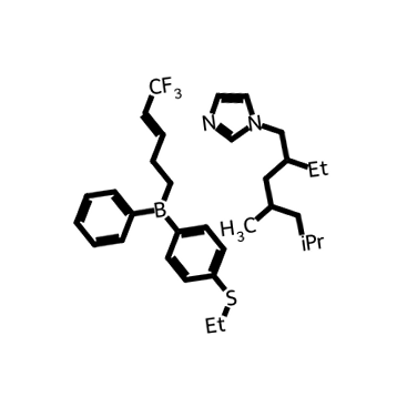 CCC(CC(C)CC(C)C)Cn1ccnc1.CCSc1ccc(B(CCC=CC(F)(F)F)c2ccccc2)cc1